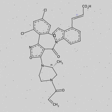 C=CC(=O)N1CCN(c2onc(-c3c(Cl)cc(Cl)cc3Cl)c2C(=O)n2ccc3c(/C=C/C(=O)O)cccc32)[C@H](C)C1